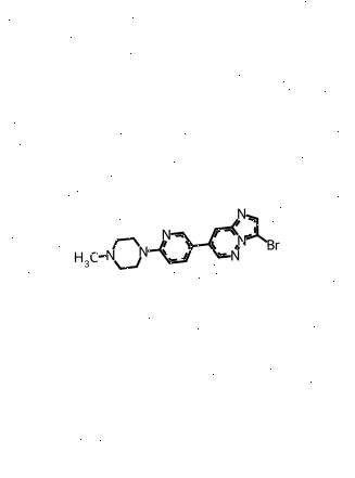 CN1CCN(c2ccc(-c3cnn4c(Br)cnc4c3)cn2)CC1